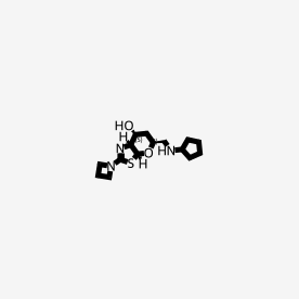 O[C@H]1C[C@@H](CNC2CCCC2)O[C@@H]2SC(N3CCC3)=N[C@@H]21